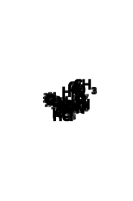 CS(=O)(=O)Nc1ccc2ncnc(N3CCN(C(=O)C(N)Cc4ccccc4)CC3)c2c1.Cl.Cl